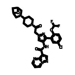 O=C(Nc1cn(CC(=O)N2CCC(N3CC4CC(C3)O4)CC2)nc1-c1cc(Cl)ccc1OC(F)F)c1cnn2cccnc12